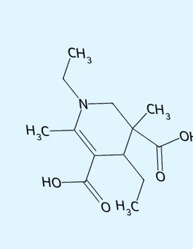 CCC1C(C(=O)O)=C(C)N(CC)CC1(C)C(=O)O